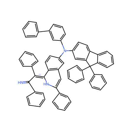 N=C(/C(=C1\NC(c2ccccc2)=Cc2cc(N(c3cccc(-c4ccccc4)c3)c3ccc4c(c3)C(c3ccccc3)(c3ccccc3)c3ccccc3-4)ccc21)c1ccccc1)c1ccccc1